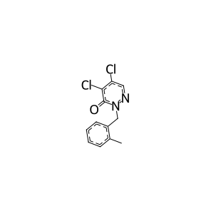 Cc1ccccc1Cn1ncc(Cl)c(Cl)c1=O